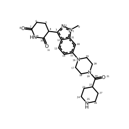 Cn1nc(C2CCC(=O)NC2=O)c2ccc(N3CCN(C(=O)C4CCNCC4)CC3)cc21